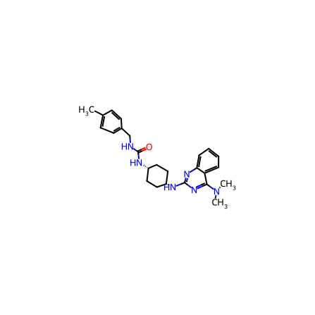 Cc1ccc(CNC(=O)N[C@H]2CC[C@@H](Nc3nc(N(C)C)c4ccccc4n3)CC2)cc1